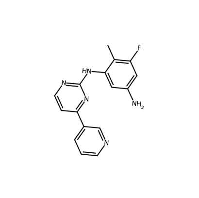 Cc1c(F)cc(N)cc1Nc1nccc(-c2cccnc2)n1